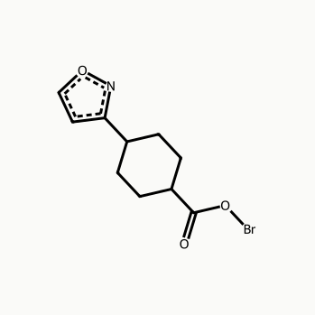 O=C(OBr)C1CCC(c2ccon2)CC1